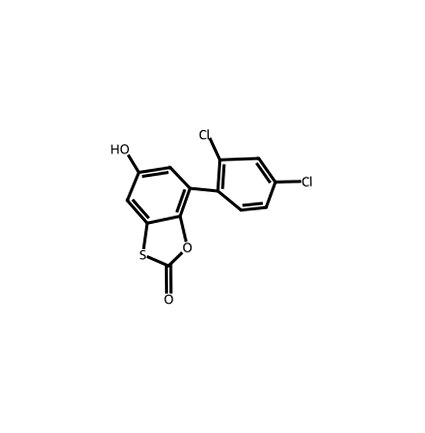 O=c1oc2c(-c3ccc(Cl)cc3Cl)cc(O)cc2s1